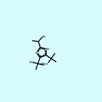 CCCCCC(C)(C)c1[nH]c(C(C)C(C)C)nc1C(C)(C)CC